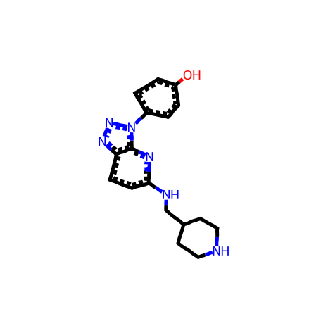 Oc1ccc(-n2nnc3ccc(NCC4CCNCC4)nc32)cc1